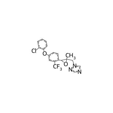 CC1(Cn2cncn2)OC1c1ccc(Oc2ccccc2Cl)cc1C(F)(F)F